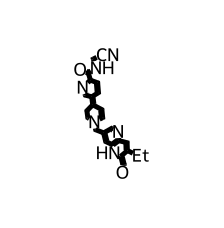 CCC1=Cc2ncc(CN3C=CC(=C4C=CC(C(=O)NCC#N)N=C4)CC3)cc2NC1=C=O